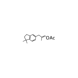 CC(=O)O/C=C(\C)Cc1ccc2c(c1)CCC2(C)C